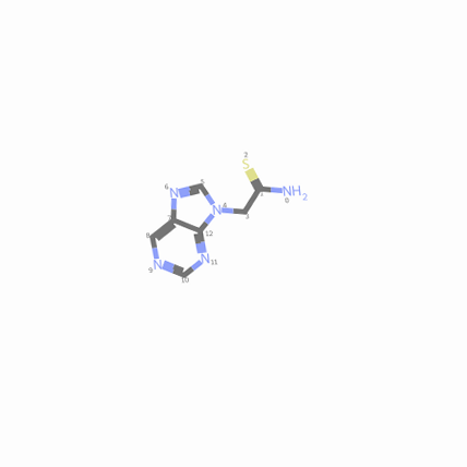 NC(=S)Cn1cnc2cncnc21